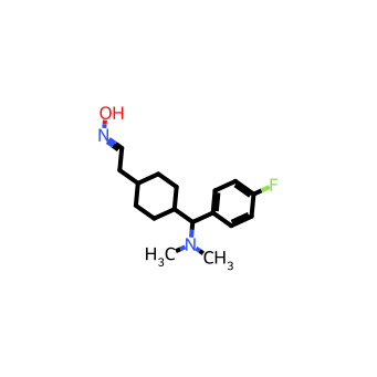 CN(C)C(c1ccc(F)cc1)C1CCC(CC=NO)CC1